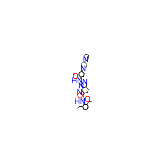 CCc1cccc(CC)c1NC(=O)c1onc2c1CCc1cnc(Nc3ccc(N4CCC(N5CCCC5)CC4)cc3OC)nc1-2